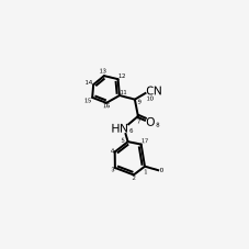 Cc1cccc(NC(=O)C(C#N)c2ccccc2)c1